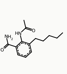 CCCCCc1cccc(C(N)=O)c1NC(C)=O